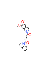 COc1cc2c(cc1OC)CN(C(=O)CCCC(=O)N1CCCC3CCCCC31)CC2